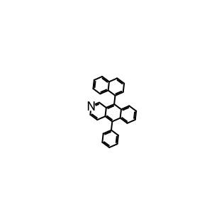 c1ccc(-c2c3ccccc3c(-c3cccc4ccccc34)c3cnccc23)cc1